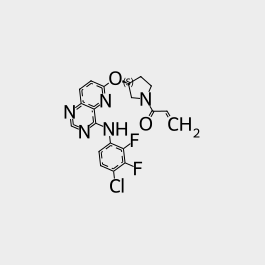 C=CC(=O)N1CC[C@H](Oc2ccc3ncnc(Nc4ccc(Cl)c(F)c4F)c3n2)C1